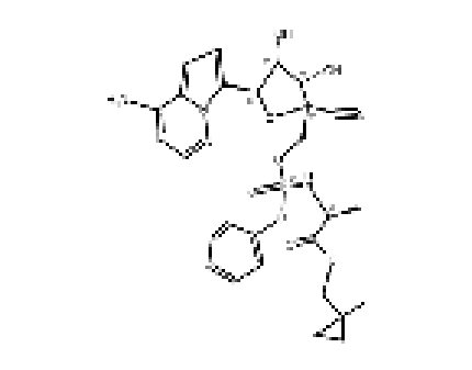 C[C@H](N[P@@](=O)(OC[C@@]1(C#N)O[C@@H](c2ccc3c(N)ncnn23)[C@H](O)[C@@H]1O)Oc1ccccc1)C(=O)OCC1(C)CC1